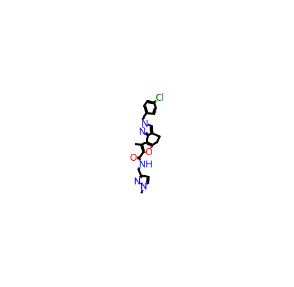 Cc1c(C(=O)NCc2ccn(C)n2)oc2c1-c1nn(Cc3ccc(Cl)cc3)cc1CC2